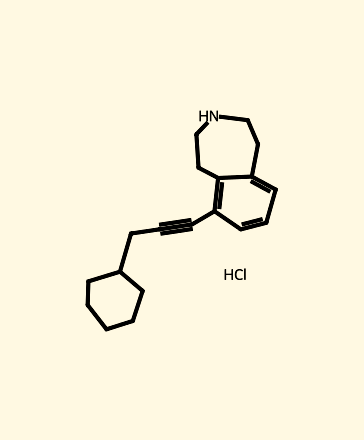 C(#Cc1cccc2c1CCNCC2)CC1CCCCC1.Cl